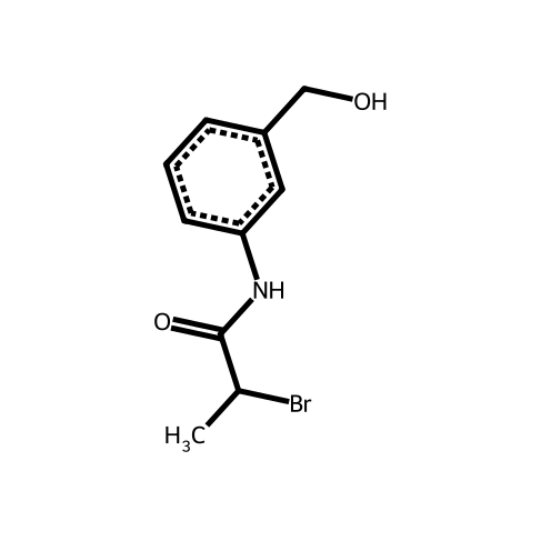 CC(Br)C(=O)Nc1cccc(CO)c1